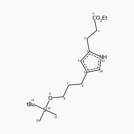 CCOC(=O)CCc1cc(CCCO[Si](C)(C)C(C)(C)C)c[nH]1